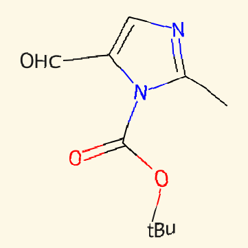 Cc1ncc(C=O)n1C(=O)OC(C)(C)C